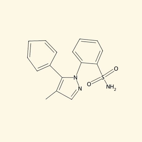 Cc1cnn(-c2ccccc2S(N)(=O)=O)c1-c1ccccc1